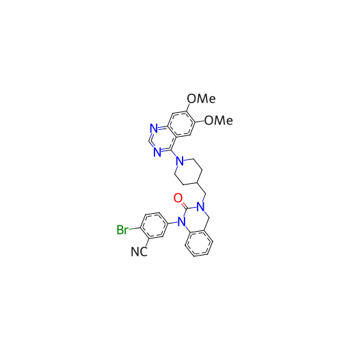 COc1cc2ncnc(N3CCC(CN4Cc5ccccc5N(c5ccc(Br)c(C#N)c5)C4=O)CC3)c2cc1OC